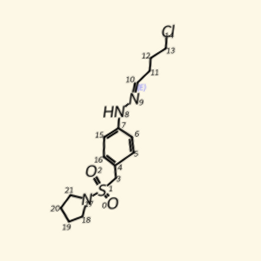 O=S(=O)(Cc1ccc(N/N=C/CCCCl)cc1)N1CCCC1